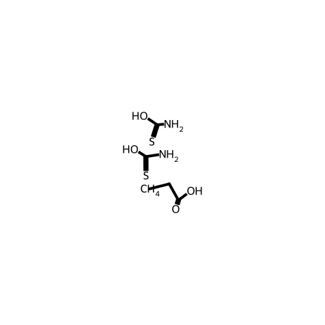 C.CCC(=O)O.NC(O)=S.NC(O)=S